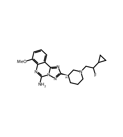 COc1cccc2c1nc(N)n1nc([C@@H]3CCCN(CC(F)C4CC4)C3)nc21